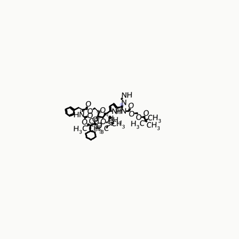 CC(C)(C)OC(=O)N[C@@H](Cc1ccccc1)C(=O)OC[C@H]1O[C@@](C#N)(c2ccc(/C(=N\C=N)NC(=O)OCOC(=O)C(C)(C)C)[nH]2)C(O[Si](C)(C)C)[C@@H]1OC(=O)CC1CCCCC1